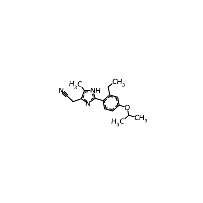 CCc1cc(OC(C)C)ccc1-c1nc(CC#N)c(C)[nH]1